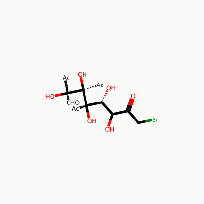 CC(=O)[C@@](O)([C@@](O)(C=O)C(C)=O)[C@](O)(C(C)=O)[C@H](O)C(O)C(=O)CBr